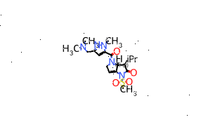 CC(C)[C@H]1C(=O)N(S(C)(=O)=O)C2=CCN(C(=O)c3cc(CN(C)C)nn3C)[C@@H]21